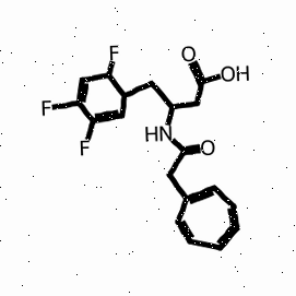 O=C(O)CC(CC1C=C(F)C(F)=CC1F)NC(=O)CC1=CC=C=CC=C1